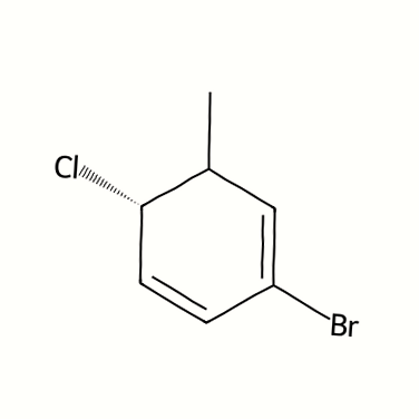 CC1C=C(Br)C=C[C@@H]1Cl